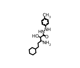 Cc1ccc(NNC(=O)C(O)[C@H](N)CCC2CCCCC2)cc1